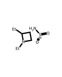 CCC1CCN1CC.N[SH](=O)=O